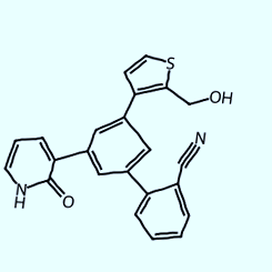 N#Cc1ccccc1-c1cc(-c2ccsc2CO)cc(-c2ccc[nH]c2=O)c1